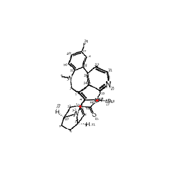 CN1Cc2c(C3=C[C@H]4CC[C@@H](C3)N4CC(=O)OC(C)(C)C)[nH]c3nccc(c23)-c2cc(F)ccc21